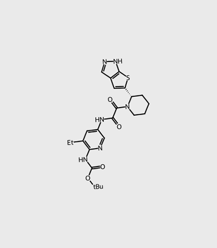 CCc1cc(NC(=O)C(=O)N2CCCC[C@H]2c2cc3cn[nH]c3s2)cnc1NC(=O)OC(C)(C)C